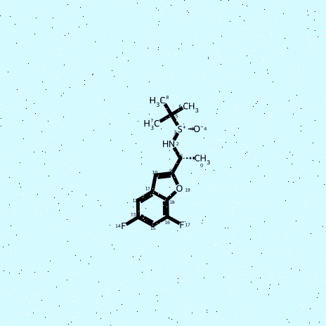 C[C@@H](N[S@@+]([O-])C(C)(C)C)c1cc2cc(F)cc(F)c2o1